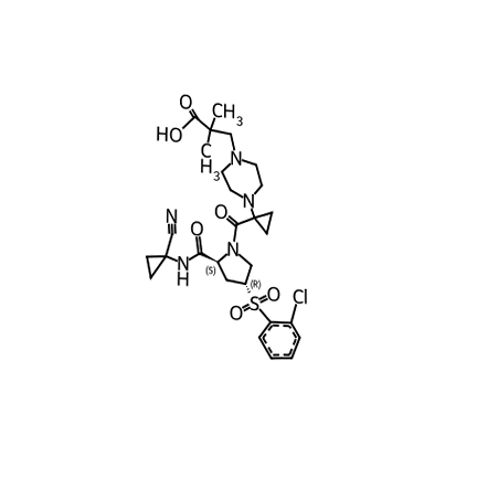 CC(C)(CN1CCN(C2(C(=O)N3C[C@H](S(=O)(=O)c4ccccc4Cl)C[C@H]3C(=O)NC3(C#N)CC3)CC2)CC1)C(=O)O